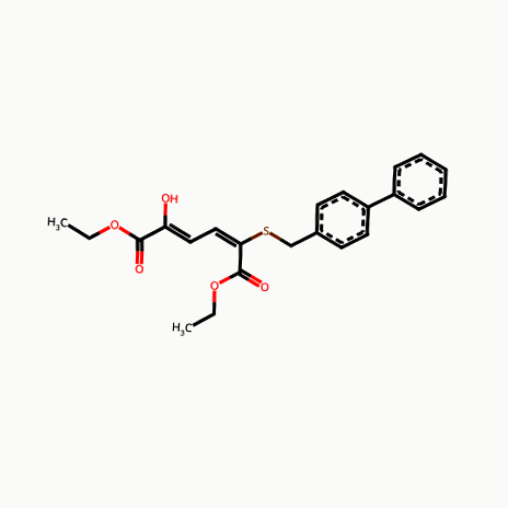 CCOC(=O)C(O)=CC=C(SCc1ccc(-c2ccccc2)cc1)C(=O)OCC